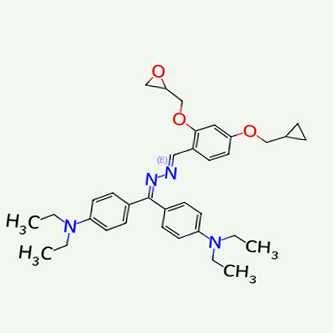 CCN(CC)c1ccc(C(=N/N=C/c2ccc(OCC3CC3)cc2OCC2CO2)c2ccc(N(CC)CC)cc2)cc1